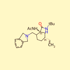 C=C[C@@H]1CCC(CN2Cc3ccccc3C2)[C@](NC(C)=O)(C(=O)NC(C)(C)C)C1